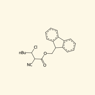 CCCCC(Cl)C(C#N)C(=O)OCC1c2ccccc2-c2ccccc21